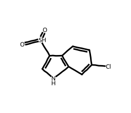 O=[SH](=O)c1c[nH]c2cc(Cl)ccc12